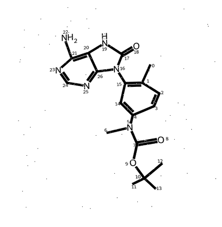 Cc1ccc(N(C)C(=O)OC(C)(C)C)cc1-n1c(=O)[nH]c2c(N)ncnc21